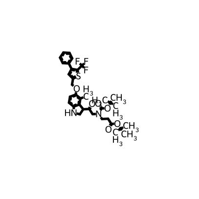 Cc1c(OCc2cc(-c3ccccc3)c(C(F)(F)F)s2)ccc2c1C(C(=O)CN(CCC(=O)OC(C)(C)C)C(=O)OC(C)(C)C)CN2